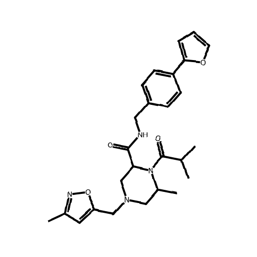 Cc1cc(CN2CC(C)N(C(=O)C(C)C)C(C(=O)NCc3ccc(-c4ccco4)cc3)C2)on1